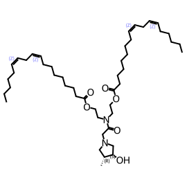 CCCCC/C=C\C/C=C\CCCCCCCC(=O)OCCN(CCOC(=O)CCCCCCC/C=C\C/C=C\CCCCC)C(=O)CN1C[C@@H](C)[C@H](O)C1